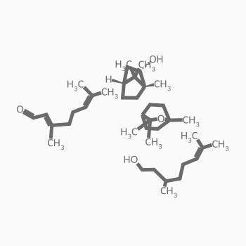 CC(C)=CCCC(C)=CC=O.CC(C)=CCCC(C)CCO.CC1(C)[C@@H]2CC[C@@]1(C)[C@@H](O)C2.CC12CCC(CC1)C(C)(C)O2